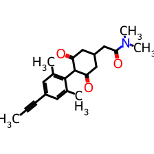 CC#Cc1cc(C)c(C2C(=O)CC(CC(=O)N(C)C)CC2=O)c(C)c1